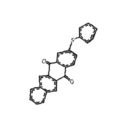 O=C1c2ccc(Sc3ccccc3)cc2C(=O)c2cc3ccccc3cc21